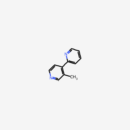 Cc1[c]nccc1-c1ccccn1